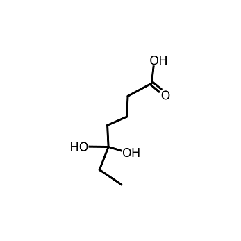 CCC(O)(O)CCCC(=O)O